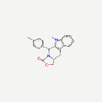 Cc1ccc(C2c3c(c4ccccc4n3C)CC3COC(=O)N32)cc1